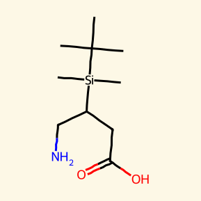 CC(C)(C)[Si](C)(C)C(CN)CC(=O)O